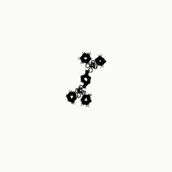 O=P(OCC1CCC(COP(=O)(Oc2ccccc2)Oc2ccccc2)CC1)(Oc1ccccc1)Oc1ccccc1